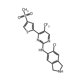 CS(=O)(=O)c1csc(-c2nc(Nc3cc4c(cc3Cl)CNC4)ncc2C(F)(F)F)c1